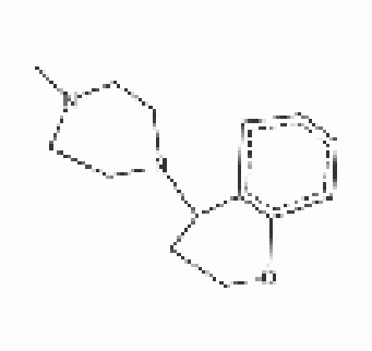 CN1CCN(C2CCOc3ccccc32)CC1